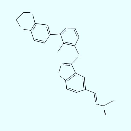 C[C@H](N=Cc1ccc2snc(Nc3cccc(-c4ccc5c(c4)OCCO5)c3Cl)c2c1)C(=O)O